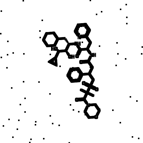 CC(C)(C(=O)N1CCOCC1)S(=O)(=O)CC(CC(=O)NC(Cc1ccccn1)C(=O)N[C@@H](CC1CCCCC1)[C@@H](O)[C@@H](O)C1CC1)c1ccccc1